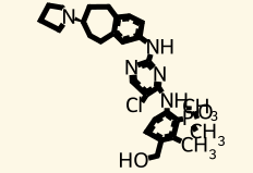 Cc1c(CO)ccc(Nc2nc(Nc3ccc4c(c3)CC[C@@H](N3CCCC3)CC4)ncc2Cl)c1P(C)(C)=O